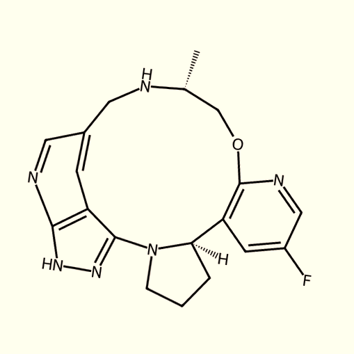 C[C@@H]1COc2ncc(F)cc2[C@H]2CCCN2c2n[nH]c3ncc(cc23)CN1